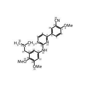 COc1ccc(-c2ccnc(Nc3cc(CN(C)C)c(OC)c(OC)c3)n2)cc1C#N